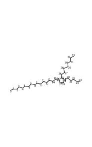 CCCCCCCCCCCCCCCCN1C=CN(CCCCC)C1CCCCCCCC